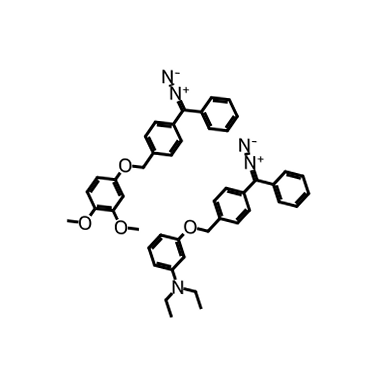 CCN(CC)c1cccc(OCc2ccc(C(=[N+]=[N-])c3ccccc3)cc2)c1.COc1ccc(OCc2ccc(C(=[N+]=[N-])c3ccccc3)cc2)cc1OC